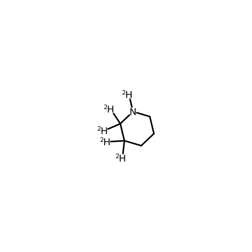 [2H]N1CCCC([2H])([2H])C1([2H])[2H]